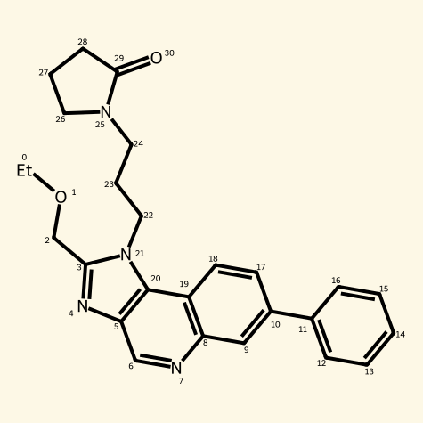 CCOCc1nc2cnc3cc(-c4ccccc4)ccc3c2n1CCCN1CCCC1=O